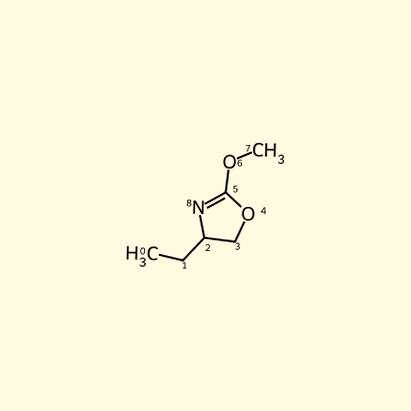 CCC1COC(OC)=N1